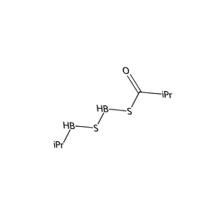 CC(C)BSBSC(=O)C(C)C